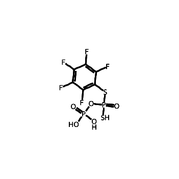 O=P(O)(O)OP(=O)(S)Sc1c(F)c(F)c(F)c(F)c1F